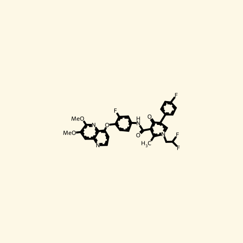 COc1cc2nccc(Oc3ccc(NC(=O)c4c(C)n(CC(F)F)cc(-c5ccc(F)cc5)c4=O)cc3F)c2nc1OC